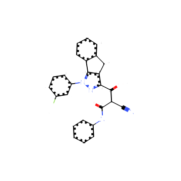 N#CC(C(=O)Nc1ccccc1)C(=O)c1nn(-c2cccc(F)c2)c2c1Cc1ccccc1-2